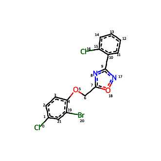 Clc1ccc(OCc2nc(-c3ccccc3Cl)no2)c(Br)c1